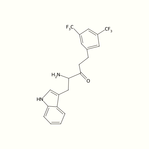 NC(Cc1c[nH]c2ccccc12)C(=O)CCc1cc(C(F)(F)F)cc(C(F)(F)F)c1